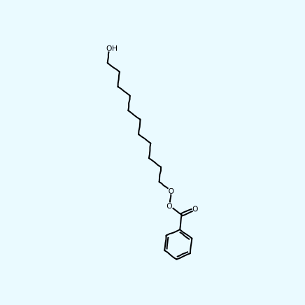 O=C(OOCCCCCCCCCCCO)c1ccccc1